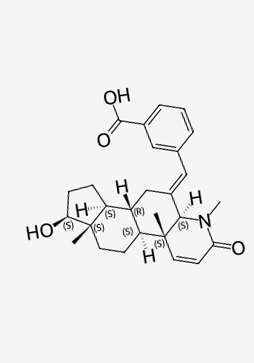 CN1C(=O)C=C[C@]2(C)[C@H]3CC[C@]4(C)[C@@H](O)CC[C@H]4[C@@H]3CC(=Cc3cccc(C(=O)O)c3)[C@@H]12